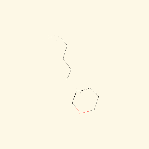 O=C(O)CCCC[C@@H]1CCCOC1